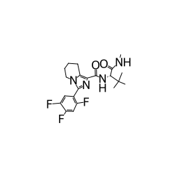 CNC(=O)[C@@H](NC(=O)c1nc(-c2cc(F)c(F)cc2F)n2c1CCCC2)C(C)(C)C